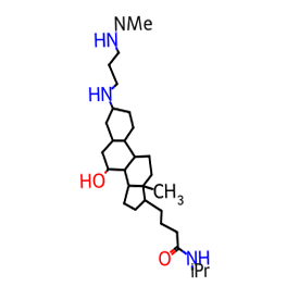 CNNCCCNC1CCC2C(C1)CC(O)C1C2CCC2(C)C(CCCC(=O)NC(C)C)CCC12